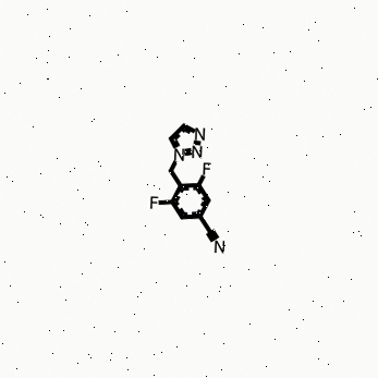 N#Cc1cc(F)c(Cn2ccnn2)c(F)c1